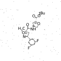 CC(C)(C)OC(=O)[C@H]1C[C@@H](NC(=O)[C@@]2(C)CC(c3cc(F)cc(F)c3)=NO2)CO1